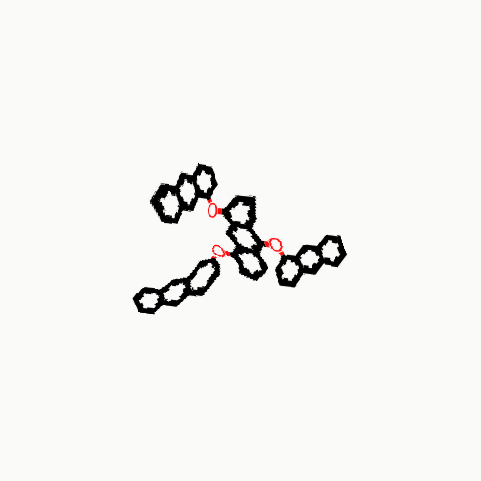 c1ccc2cc3cc(Oc4cccc5c(Oc6cccc7cc8ccccc8cc67)c6cccc(Oc7cccc8cc9ccccc9cc78)c6cc45)ccc3cc2c1